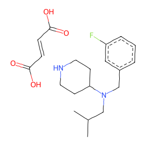 CC(C)CN(Cc1cccc(F)c1)C1CCNCC1.O=C(O)C=CC(=O)O